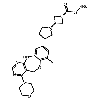 Cc1cc([C@@H]2CCN(C3CN(C(=O)OC(C)(C)C)C3)C2)cc2c1OCc1c(ncnc1N1CCOCC1)N2